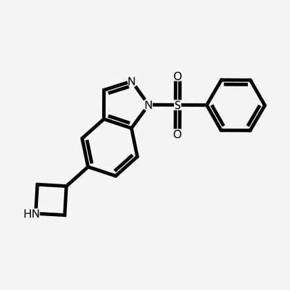 O=S(=O)(c1ccccc1)n1ncc2cc(C3CNC3)ccc21